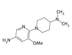 COc1cc(N)cnc1N1CCC(N(C)C)CC1